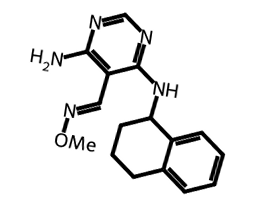 CON=Cc1c(N)ncnc1NC1CCCc2ccccc21